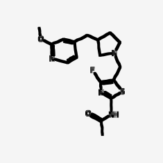 COc1cc(CC2CCN(Cc3sc(NC(C)=O)nc3F)C2)ccn1